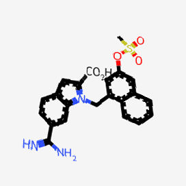 CS(=O)(=O)Oc1cc(Cn2c(C(=O)O)cc3ccc(C(=N)N)cc32)c2ccccc2c1